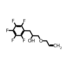 C=CCOCC(O)Cc1c(F)c(F)c(F)c(F)c1F